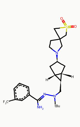 CC(C)(C)N(C[C@H]1[C@@H]2C[C@@H](N3CCC4(C3)CS(=O)(=O)C4)C[C@@H]21)/N=C(\N)c1cccc(C(F)(F)F)c1